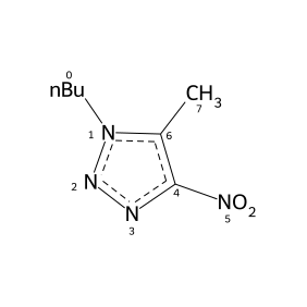 CCCCn1nnc([N+](=O)[O-])c1C